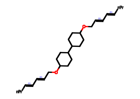 CCC/C=C/C=C/COC1CCC(C2CCC(OC/C=C/C=C/CCC)CC2)CC1